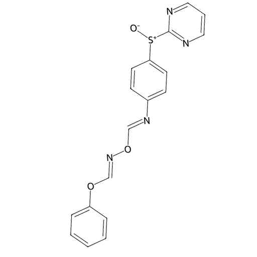 [O-][S+](c1ccc(/N=C/O/N=C/Oc2ccccc2)cc1)c1ncccn1